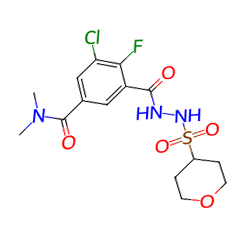 CN(C)C(=O)c1cc(Cl)c(F)c(C(=O)NNS(=O)(=O)C2CCOCC2)c1